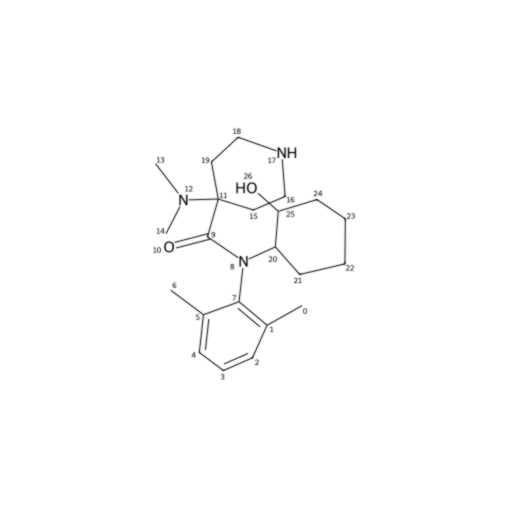 Cc1cccc(C)c1N(C(=O)C1(N(C)C)CCNCC1)C1CCCCC1O